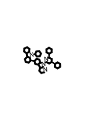 c1ccc(-c2cc(-c3ccccc3)nc(-n3c4ccc(-c5cccc6c7ccccc7n(-c7ccccc7)c56)cc4c4cccnc43)c2)cc1